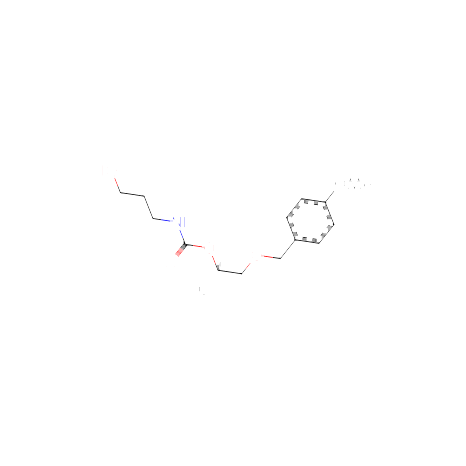 COc1ccc(COC[C@@H](OC(=O)NCCCO)C(F)(F)F)cc1